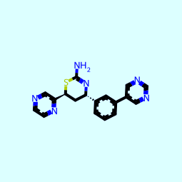 NC1=N[C@H](c2cccc(-c3cncnc3)c2)C[C@@H](c2cnccn2)S1